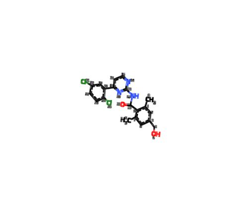 Cc1cc(CO)cc(C)c1C(=O)Nc1nccc(-c2cc(Cl)ccc2Cl)n1